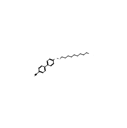 CCCCCCCCCCNOc1ccc(-c2ccc(C#N)cc2)cc1